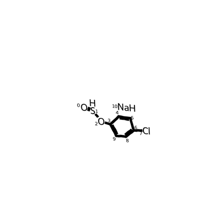 O=[SH]Oc1ccc(Cl)cc1.[NaH]